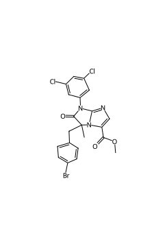 COC(=O)c1cnc2n1C(C)(Cc1ccc(Br)cc1)C(=O)N2c1cc(Cl)cc(Cl)c1